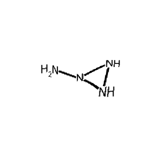 Nn1[nH][nH]1